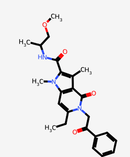 CCc1cc2c(c(C)c(C(=O)NC(C)COC)n2C)c(=O)n1CC(=O)c1ccccc1